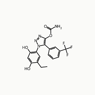 CCc1cc(-n2nnc(OC(N)=O)c2-c2cccc(C(F)(F)F)c2)c(O)cc1O